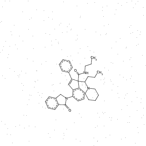 CCCNC(=O)C1(C(CCC)N2CCCCC2)C(c2ccccc2)=Cc2c(N3Cc4ccccc4C3=O)cccc21